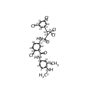 CNc1ccc(NC(=O)c2cc(NC(=O)C3C(c4cc(Cl)cc(Cl)c4)C3(Cl)Cl)ccc2Cl)cc1C